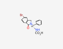 O=C(O)NC[C@@H](c1ccccc1)N1Cc2cc(Br)ccc2C1=O